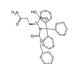 NC(=O)CC[C@@H](C(=O)O)N(C(=O)OCc1ccccc1)C(c1ccccc1)(c1ccccc1)c1ccccc1